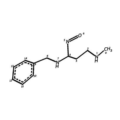 CNCCC(N=O)NCc1ccccc1